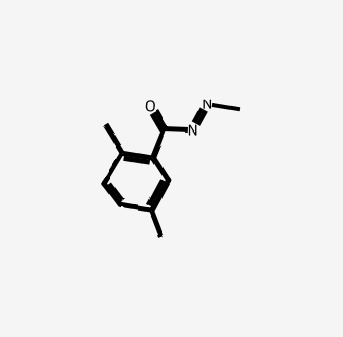 CN=NC(=O)c1cc(C)ccc1C